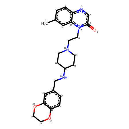 Cc1ccc2ncc(=O)n(CCN3CCC(NCc4ccc5c(c4)OCCO5)CC3)c2c1